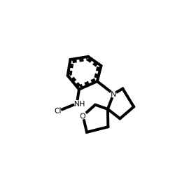 ClNc1ccccc1N1CCCC12CCOC2